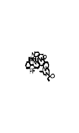 C=CC(=O)N1CC(C)N2c3c(c(=O)n(-c4c(C)ccnc4C(C)C)c4nc(-c5c(O)cccc5F)c(F)cc34)CCC2C1